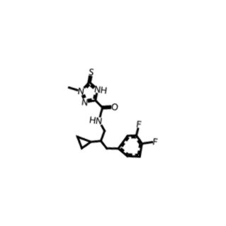 Cn1nc(C(=O)NCC(Cc2ccc(F)c(F)c2)C2CC2)[nH]c1=S